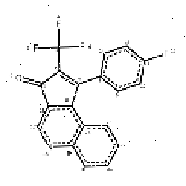 O=C1C(C(F)(F)F)=C(c2ccc(F)cc2)c2c1cnc1ccccc21